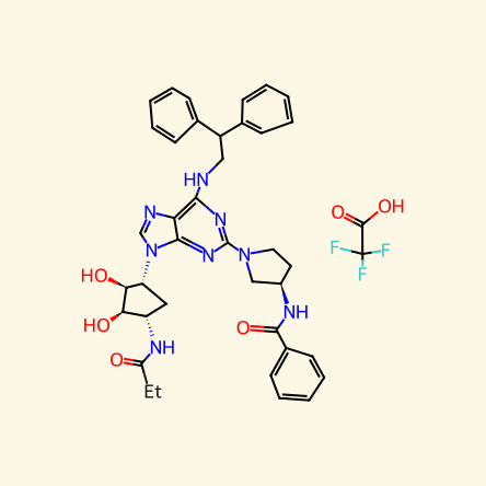 CCC(=O)N[C@H]1C[C@@H](n2cnc3c(NCC(c4ccccc4)c4ccccc4)nc(N4CC[C@@H](NC(=O)c5ccccc5)C4)nc32)[C@H](O)[C@@H]1O.O=C(O)C(F)(F)F